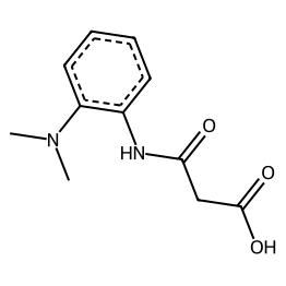 CN(C)c1ccccc1NC(=O)CC(=O)O